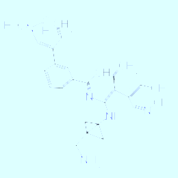 C=C/C(=C\N(C)C)c1cccc(/C(C)=N/C(NC23CC2(CN)C3)=C(C=C)/C(/C=N\C)=C/C)c1